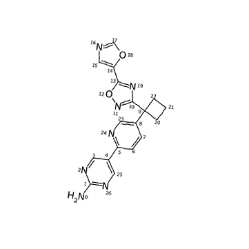 Nc1ncc(-c2ccc(C3(c4noc(-c5cnco5)n4)CCC3)cn2)cn1